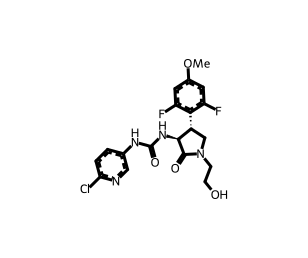 COc1cc(F)c([C@@H]2CN(CCO)C(=O)[C@H]2NC(=O)Nc2ccc(Cl)nc2)c(F)c1